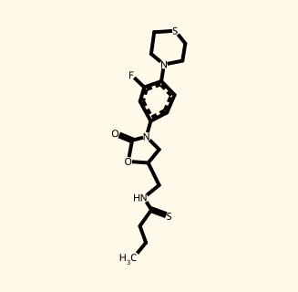 CCCC(=S)NCC1CN(c2ccc(N3CCSCC3)c(F)c2)C(=O)O1